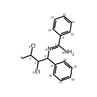 CCC(C(C)Cl)C(/N=C(\N)c1ccccc1)c1ccccc1